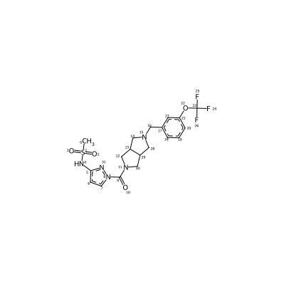 CS(=O)(=O)Nc1ccn(C(=O)N2CC3CN(Cc4cccc(OC(F)(F)F)c4)CC3C2)n1